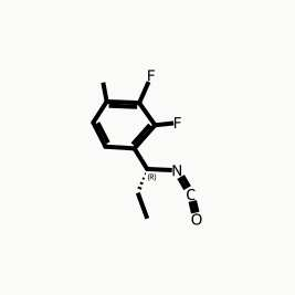 CC[C@@H](N=C=O)c1ccc(C)c(F)c1F